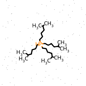 CC(C)CCCC[PH](CCCCC(C)C)(CCCCC(C)C)CCCCC(C)C